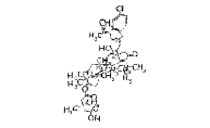 CCC[C@@H]1[C@@]2(C)CC[C@H](OC(=O)CC(C)(C)CC(=O)O)C(C)(C)[C@@H]2CC[C@@]1(C)[C@]1(C)CC[C@@]2([C@H](O)CN(CCN(C)C)Cc3ccc(Cl)cc3)CC(=O)C(C(C)C)=C2C1